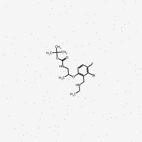 CCNCc1c(OC(C)CNC(=O)OC(C)(C)C)ccc(F)c1Br